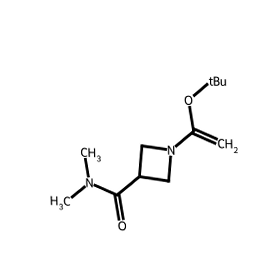 C=C(OC(C)(C)C)N1CC(C(=O)N(C)C)C1